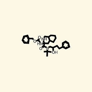 CC(C)(C)N(CC(O)CCc1ccccc1)C(=O)C1(NC(=O)OCc2ccccc2)CC2CCCCC2CN1